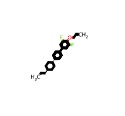 C=CCOc1c(F)cc(-c2ccc([C@H]3CC[C@H](CCC)CC3)cc2)cc1F